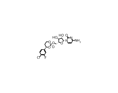 Nc1ccn([C@@H]2O[C@H](CO[P@]3(=O)OCC[C@H](c4ccc(Cl)c(F)c4)O3)[C@@H](O)[C@@H]2O)c(=O)n1